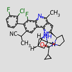 Cc1nc2c(F)c(-c3cccc(F)c3Cl)c(C(C)C#N)cc2c2c1cc([C@H]1CCCN1C(=O)C1CC1)n2[C@H]1[C@H]2CN[C@@H]1C2